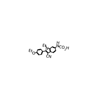 CCOc1ccc(-c2c(C#N)c3ccc(NC(=O)O)cc3n2CC)cc1